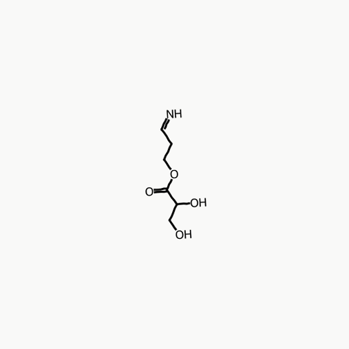 N=CCCOC(=O)C(O)CO